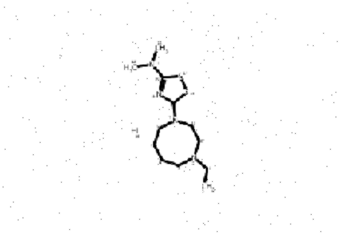 CCN1CCCCN(C2N=C(N(C)C)SS2)CC1.I